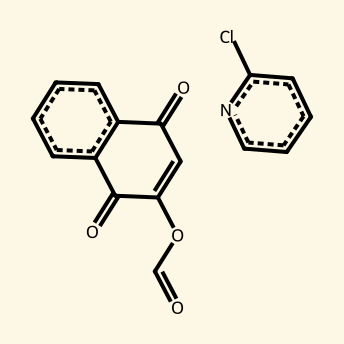 Clc1ccccn1.O=COC1=CC(=O)c2ccccc2C1=O